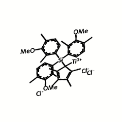 COc1c(C)ccc([Si](c2ccc(C)c(OC)c2C)(c2ccc(C)c(OC)c2C)[C]2([Ti+3])C(C)=C(C)C(C)=C2C)c1C.[Cl-].[Cl-].[Cl-]